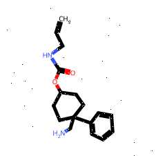 C=CCNC(=O)OC1CCC(CN)(c2ccccc2)CC1